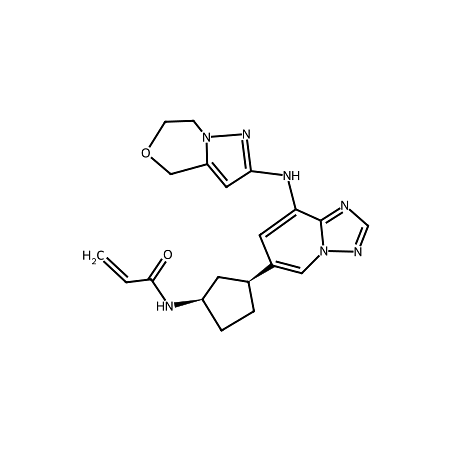 C=CC(=O)N[C@@H]1CC[C@H](c2cc(Nc3cc4n(n3)CCOC4)c3ncnn3c2)C1